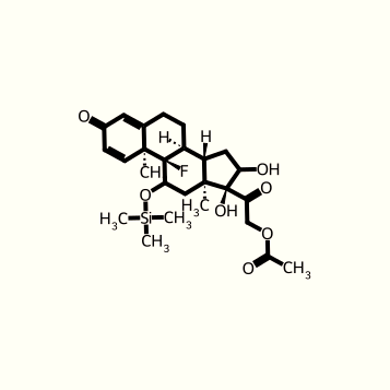 CC(=O)OCC(=O)[C@@]1(O)C(O)C[C@H]2[C@@H]3CCC4=CC(=O)C=C[C@]4(C)[C@@]3(F)C(O[Si](C)(C)C)C[C@@]21C